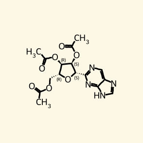 CC(=O)OC[C@H]1O[C@@H](c2ncc3nc[nH]c3n2)[C@H](OC(C)=O)[C@@H]1OC(C)=O